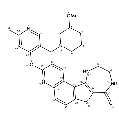 COC1CCCN(Cc2cnc(C)nc2Oc2ccc3c(ccc4sc5c(c43)NCCNC5=O)n2)C1